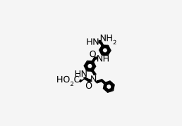 N=C(N)c1cccc(NC(=O)c2ccc3c(c2)CN(CCc2ccccc2)C(=O)[C@@H](CC(=O)O)N3)c1